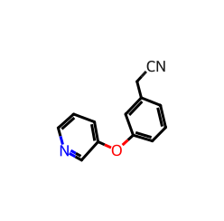 N#CCc1cccc(Oc2cccnc2)c1